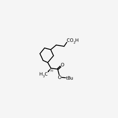 C[C@H](C(=O)OC(C)(C)C)C1CCCC(CCC(=O)O)C1